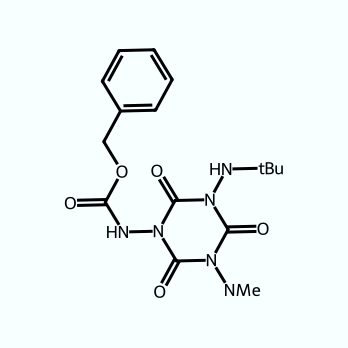 CNn1c(=O)n(NC(=O)OCc2ccccc2)c(=O)n(NC(C)(C)C)c1=O